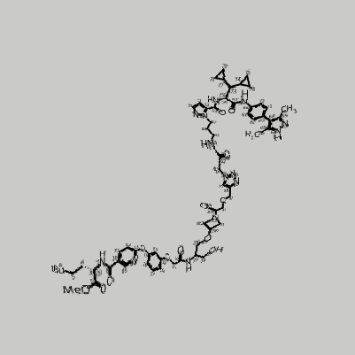 COC(=O)[C@H](CCC(C)(C)C)NC(=O)c1ccc(Oc2cccc(OCC(=O)NC(CO)COC3CN(C(=O)COCc4cn(CC(=O)NCCCn5nccc5C(=O)N[C@H](C(=O)Nc5ccc(-c6c(C)n[nH]c6C)cc5)C(C5CC5)C5CC5)nn4)C3)c2)nc1